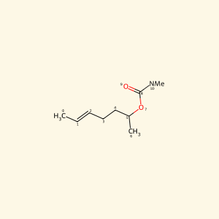 CC=CCCC(C)OC(=O)NC